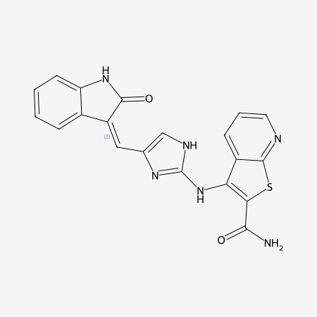 NC(=O)c1sc2ncccc2c1Nc1nc(/C=C2\C(=O)Nc3ccccc32)c[nH]1